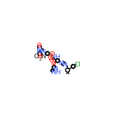 CC1(C)CCC(CN2CCN(c3ccc(C(=O)NS(=O)(=O)c4ccc(NCC5COCCN5C5CCOCC5)c([N+](=O)[O-])c4)c(Oc4cnc5[nH]ccc5c4)c3)CC2)=C(c2ccc(Cl)cc2)C1